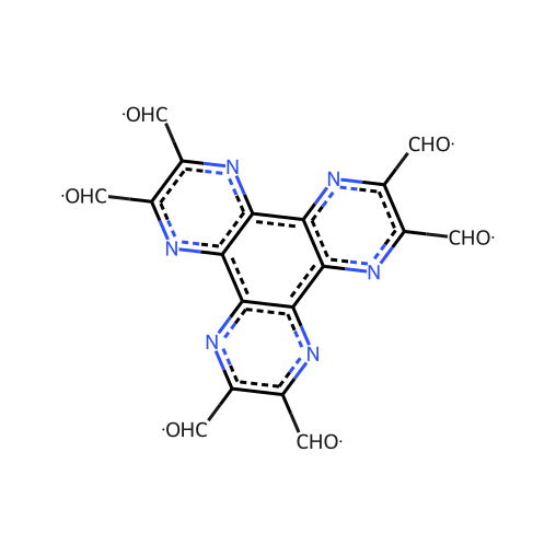 O=[C]c1nc2c3nc([C]=O)c([C]=O)nc3c3nc([C]=O)c([C]=O)nc3c2nc1[C]=O